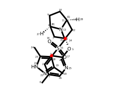 Cc1ccc(O[C@@H]2C[C@H]3CC[C@@H](C2)N3CS(=O)(=O)c2c(C)n[nH]c2C)nc1